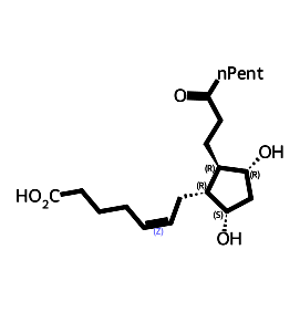 CCCCCC(=O)CC[C@@H]1[C@@H](C/C=C\CCCC(=O)O)[C@@H](O)C[C@H]1O